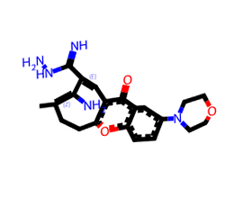 C/C1=C(N)\C(C(=N)NN)=C/c2c(oc3ccc(N4CCOCC4)cc3c2=O)CC1